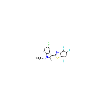 Cc1c(-c2nc3c(F)c(F)cc(F)c3s2)c2cc(Cl)ccc2n1CC(=O)O